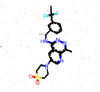 Cc1nnc(N[C@H](C)c2cccc(C(C)(F)F)c2)c2cc(N3CCS(=O)(=O)CC3)cnc12